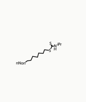 CCCCCCCCCCCCCCCCSC(=S)NC(C)C